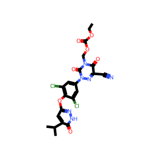 CCOC(=O)OCn1c(=O)c(C#N)nn(-c2cc(Cl)c(Oc3cc(C(C)C)c(=O)[nH]n3)c(Cl)c2)c1=O